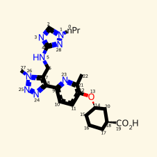 CCCn1cnc(NCc2c(-c3ccc(O[C@H]4CCC[C@H](C(=O)O)C4)c(C)n3)nnn2C)n1